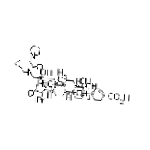 CC(C)C1=C2[C@H]3CC[C@@H]4[C@@]5(C)CC=C(c6ccc(C(=O)O)cc6)C(C)(C)[C@H]5CC[C@@]4(C)[C@]3(C)CC[C@@]2([C@@H](O)CN(CC2CC2)C(=O)CN2CCCC2)CC1=O